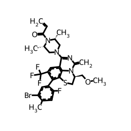 C=CC(=O)N1[C@H](C)CN(C2=NC(=C)N3c4c2cc(C(F)(F)F)c(-c2cc(Br)c(C)cc2F)c4SC[C@@H]3COC)C[C@@H]1C